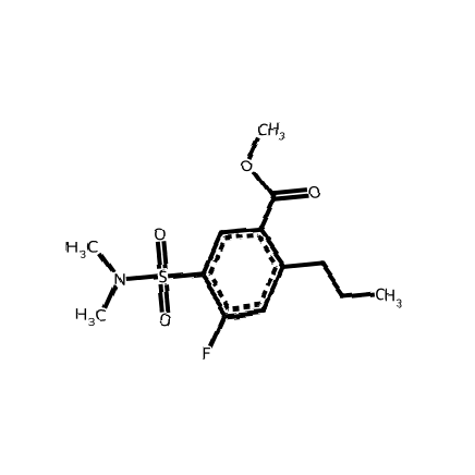 CCCc1cc(F)c(S(=O)(=O)N(C)C)cc1C(=O)OC